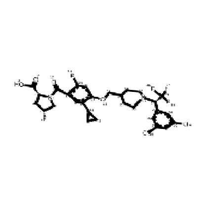 O=C(O)[C@@H]1C[C@@H](F)CN1C(=O)c1cc(C2CC2)c(OCC2CCN([C@H](c3cc(Cl)cc(Cl)c3)C(F)(F)F)CC2)cc1F